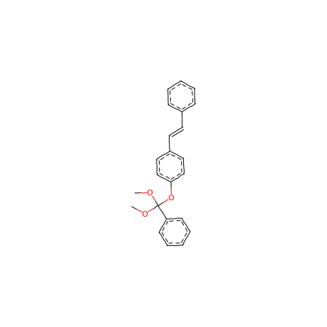 COC(OC)(Oc1ccc(C=Cc2ccccc2)cc1)c1ccccc1